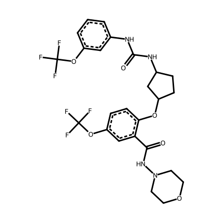 O=C(Nc1cccc(OC(F)(F)F)c1)NC1CCC(Oc2ccc(OC(F)(F)F)cc2C(=O)NN2CCOCC2)C1